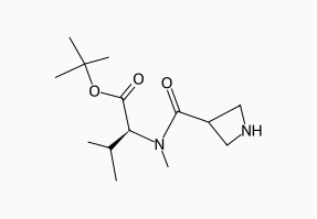 CC(C)[C@@H](C(=O)OC(C)(C)C)N(C)C(=O)C1CNC1